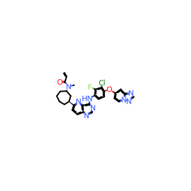 C=CC(=O)N(C)[C@H]1CCCC[C@H](c2ccc3ncnc(Nc4ccc(Oc5ccn6ncnc6c5)c(Cl)c4F)c3n2)C1